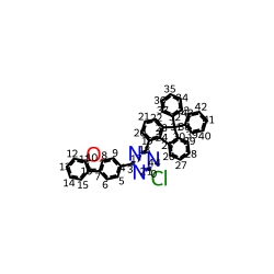 Clc1nc(-c2ccc3c(c2)oc2ccccc23)nc(-c2cccc3c2-c2ccccc2C3(c2ccccc2)c2ccccc2)n1